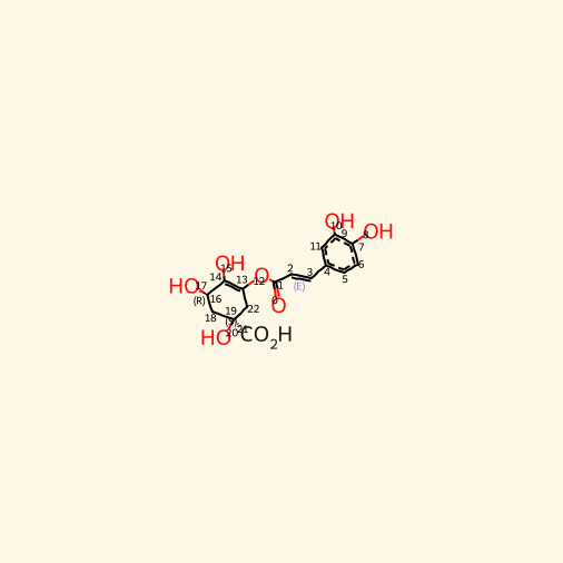 O=C(/C=C/c1ccc(O)c(O)c1)OC1=C(O)[C@H](O)C[C@@](O)(C(=O)O)C1